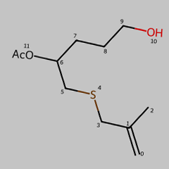 C=C(C)CSCC(CCCO)OC(C)=O